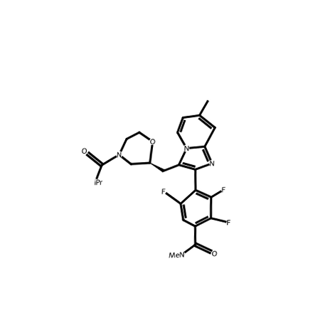 CNC(=O)c1cc(F)c(-c2nc3cc(C)ccn3c2C[C@H]2CN(C(=O)C(C)C)CCO2)c(F)c1F